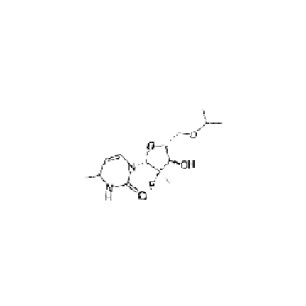 CC1C=CN([C@@H]2O[C@H](COC(C)C)[C@@H](O)[C@@]2(C)F)C(=O)N1